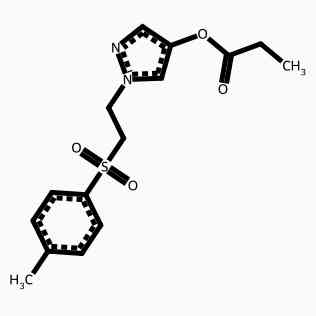 CCC(=O)Oc1cnn(CCS(=O)(=O)c2ccc(C)cc2)c1